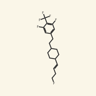 FCCC=CC1CCC(CCc2cc(F)c(C(F)(F)F)c(F)c2)CC1